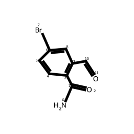 NC(=O)c1ccc(Br)cc1C=O